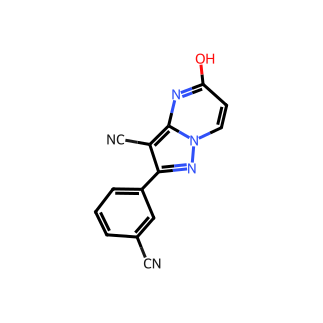 N#Cc1cccc(-c2nn3ccc(O)nc3c2C#N)c1